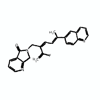 C=C(F)/C(=C\C=C(/C)c1ccc2ncccc2c1)CN1Cc2ncccc2C1=O